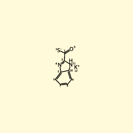 O=C([S-])c1nc2ccccc2[nH]1.[K+]